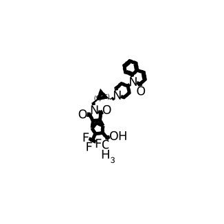 CC(O)C1C2CC(C3C(=O)N(C[C@H]4C[C@@H]4CN4CCC(n5c(=O)ccc6ccccc65)CC4)C(=O)C23)C1C(F)(F)F